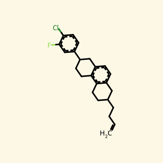 C=CCCC1CCc2c(ccc3c2CCC(c2ccc(Cl)c(F)c2)C3)C1